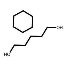 OCCCCCO.[CH]1CCCCC1